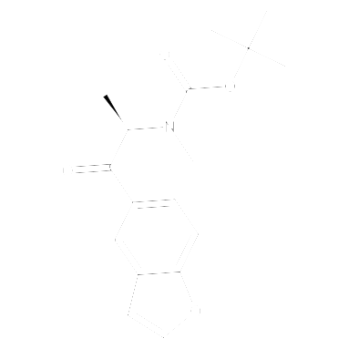 C[C@H](C(=O)c1ccc2occc2c1)N(C)C(=O)OC(C)(C)C